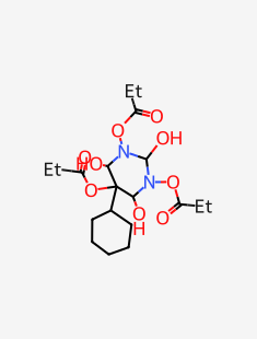 CCC(=O)ON1C(O)N(OC(=O)CC)C(O)C(OC(=O)CC)(C2CCCCC2)C1O